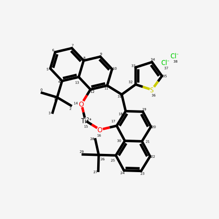 CC(C)(C)c1cccc2ccc3c(c12)[O][Ti+2][O]c1c(ccc2cccc(C(C)(C)C)c12)C3c1cccs1.[Cl-].[Cl-]